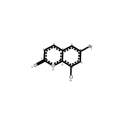 O=c1ccc2cc(Br)cc(Cl)c2o1